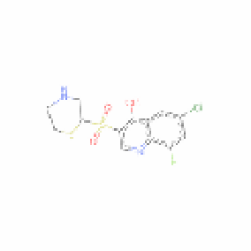 O=S(=O)(c1cnc2c(F)cc(Cl)cc2c1O)C1CNCCS1